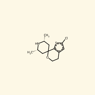 C[C@@H]1CC2(C[C@H](C)N1)OCCc1cc(Cl)sc12